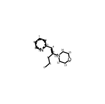 CCC/C(=C\c1ccccn1)N1CCOCC1